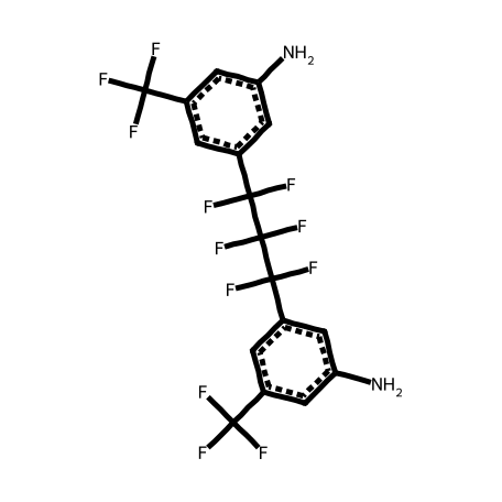 Nc1cc(C(F)(F)F)cc(C(F)(F)C(F)(F)C(F)(F)c2cc(N)cc(C(F)(F)F)c2)c1